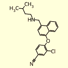 CC(C)CCNCc1ccc(Oc2ccc(C#N)cc2Cl)c2ccccc12